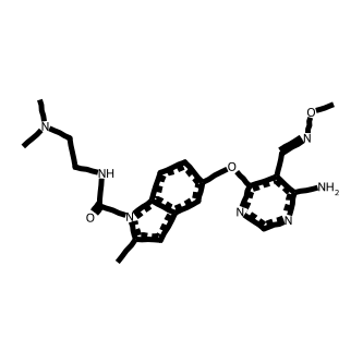 CO/N=C/c1c(N)ncnc1Oc1ccc2c(c1)cc(C)n2C(=O)NCCN(C)C